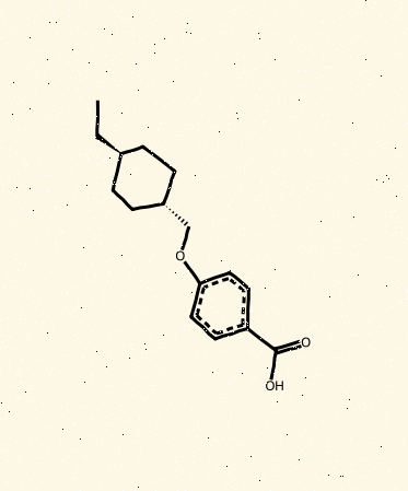 CC[C@H]1CC[C@H](COc2ccc(C(=O)O)cc2)CC1